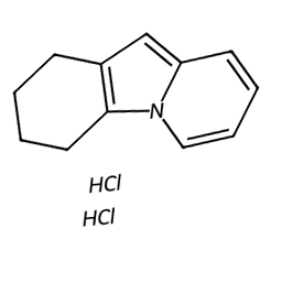 Cl.Cl.c1ccn2c3c(cc2c1)CCCC3